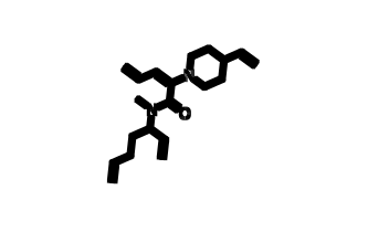 C=C/C=C(\C(=O)N(C)C(C=C)CCC=C)N1CCC(C=C)CC1